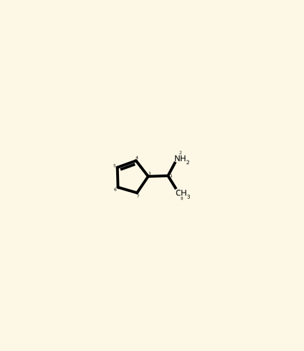 CC(N)C1C=CCC1